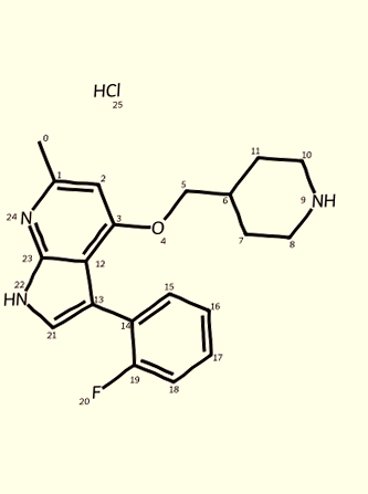 Cc1cc(OCC2CCNCC2)c2c(-c3ccccc3F)c[nH]c2n1.Cl